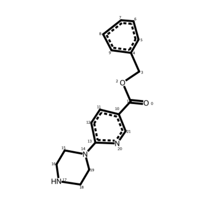 O=C(OCc1ccccc1)c1ccc(N2CCNCC2)nc1